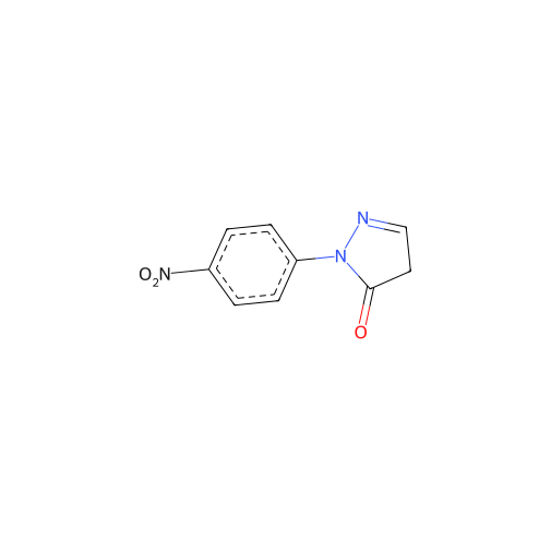 O=C1CC=NN1c1ccc([N+](=O)[O-])cc1